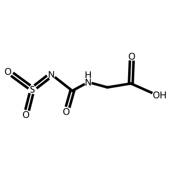 O=C(O)CNC(=O)N=S(=O)=O